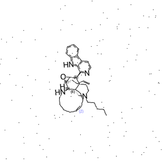 C=CCC[C@]12OC1[C@@H](c1nccc3c1[nH]c1ccccc13)C1CCN(CCCCC)C[C@@]13CC/C=C\CCCCN[C@H]32